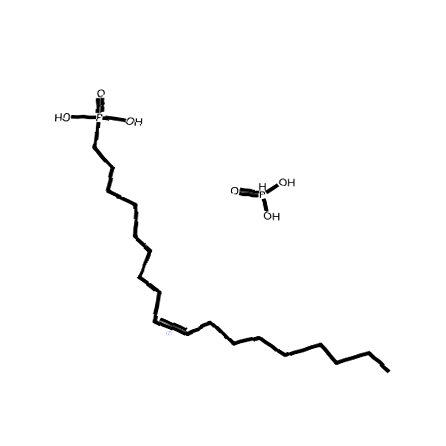 CCCCCCCC/C=C\CCCCCCCCP(=O)(O)O.O=[PH](O)O